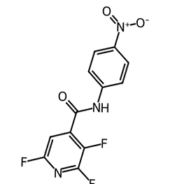 O=C(Nc1ccc([N+](=O)[O-])cc1)c1cc(F)nc(F)c1F